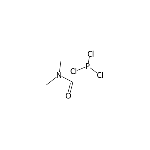 CN(C)C=O.ClP(Cl)Cl